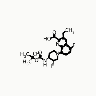 CCc1cc2c(F)ccc(N3CC[C@H](NC(=O)OC(C)(C)C)[C@H](F)C3)c2nc1C(=O)O